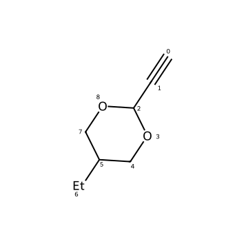 C#CC1OCC(CC)CO1